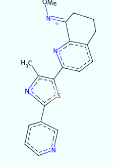 CO/N=C1\CCCc2ccc(-c3sc(-c4cccnc4)nc3C)nc21